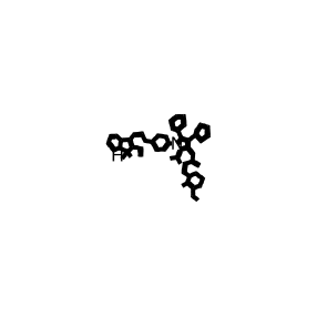 C=CC1=C(/C=C\CC2=CC=C(n3c(-c4ccccc4)c(-c4ccccc4)/c(=C/C(=C)/C=C\C4CCCC(CC)=C4C)c3=C(C)C)CC2)C2C=CC=C[C@H]2C1(C)C